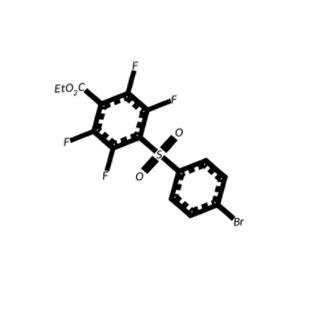 CCOC(=O)c1c(F)c(F)c(S(=O)(=O)c2ccc(Br)cc2)c(F)c1F